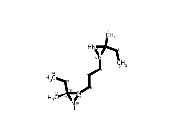 CCC1(C)NN1CCCN1N[C@]1(C)CC